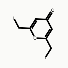 O=c1cc(CI)oc(CI)c1